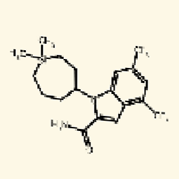 C[Si]1(C)CCCC(n2c(C(N)=O)cc3c(C(F)(F)F)cc(C(F)(F)F)cc32)CC1